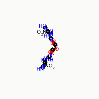 O=C(c1ccc2c(c1)OC(N1CCC(Nc3ncnc4cc(N5CCNCC5)c([N+](=O)[O-])cc34)CC1)O2)c1ccc2c(c1)OC(N1CCC(Nc3ncnc4cc(N5CCNCC5)c([N+](=O)[O-])cc34)CC1)O2